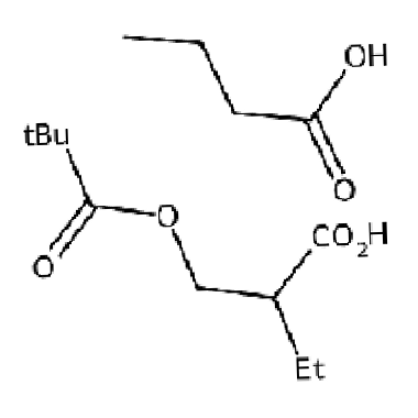 CCC(COC(=O)C(C)(C)C)C(=O)O.CCCC(=O)O